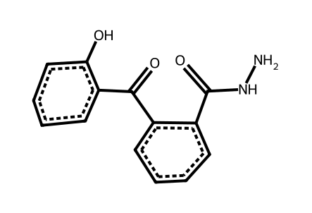 NNC(=O)c1ccccc1C(=O)c1ccccc1O